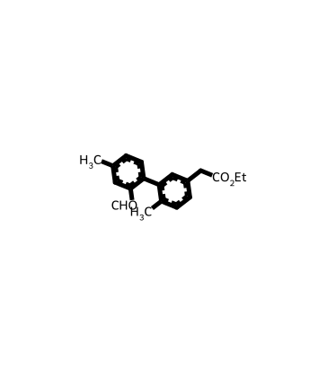 CCOC(=O)Cc1ccc(C)c(-c2ccc(C)cc2C=O)c1